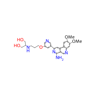 COc1cc2ncc3c(N)nc(-c4cncc(OCCCNC(CO)CO)c4)cc3c2cc1OC